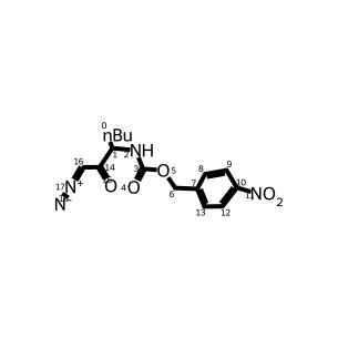 CCCCC(NC(=O)OCc1ccc([N+](=O)[O-])cc1)C(=O)C=[N+]=[N-]